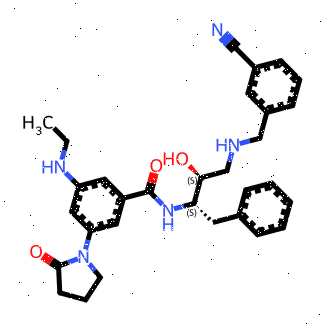 CCNc1cc(C(=O)N[C@@H](Cc2ccccc2)[C@@H](O)CNCc2cccc(C#N)c2)cc(N2CCCC2=O)c1